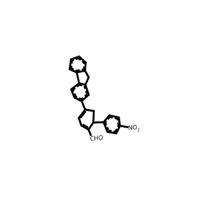 O=CC1=CC=C(c2ccc3c(c2)Cc2ccccc2-3)CC1c1ccc([N+](=O)[O-])cc1